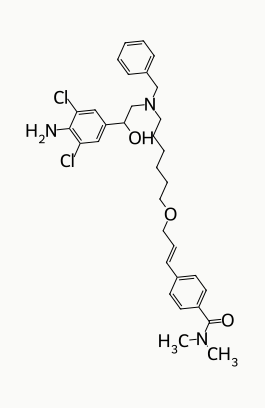 CN(C)C(=O)c1ccc(C=CCOCCCCCCN(Cc2ccccc2)CC(O)c2cc(Cl)c(N)c(Cl)c2)cc1